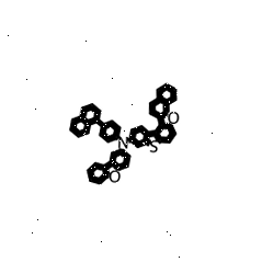 c1ccc2c(-c3ccc(N(c4ccc5c(c4)sc4ccc6oc7c8ccccc8ccc7c6c45)c4ccc5oc6ccccc6c5c4)cc3)cccc2c1